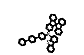 c1ccc(-c2ccc(-c3ccc(N(c4ccc5c(c4)C4(c6ccccc6-c6ccccc64)c4ccccc4-5)c4cccc5c4sc4ccccc45)cc3)cc2)cc1